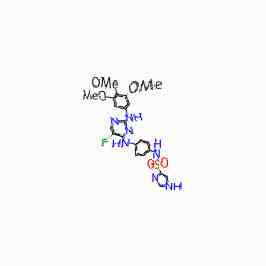 COc1cc(Nc2ncc(F)c(Nc3ccc(NS(=O)(=O)c4c[nH]cn4)cc3)n2)cc(OC)c1OC